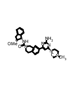 CO[C@@H]1Cc2ccccc2[C@@H]1NC(=O)N1CCc2ccc(-c3cc(N4CCN(C)CC4)nc(N)n3)cc2C1